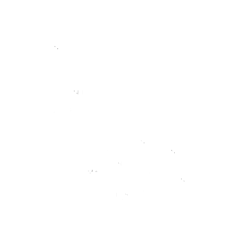 COc1cc(C(=O)NCCN2CCCC2)ccc1Nc1nc(Cc2c(Cl)cccc2Cl)n2ccnc2c1C(N)=O